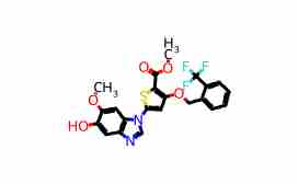 COC(=O)c1sc(-n2cnc3cc(O)c(OC)cc32)cc1OCc1ccccc1C(F)(F)F